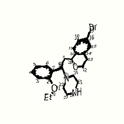 CCOc1ccccc1C(CC1OCCc2cc(Br)ccc21)N1CCNCC1